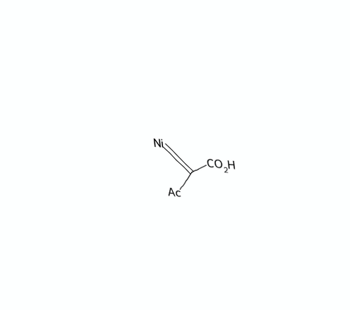 CC(=O)[C](=[Ni])C(=O)O